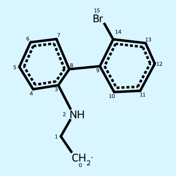 [CH2]CNc1ccccc1-c1ccccc1Br